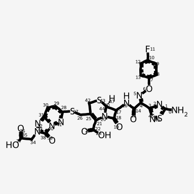 Nc1nc(C(=NOc2ccc(F)cc2)C(=O)NC2C(=O)N3C(C(=O)O)=C(CSc4ccc5nn(CC(=O)O)c(=O)n5n4)CS[C@@H]23)ns1